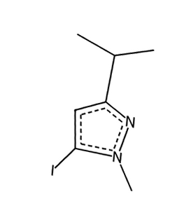 CC(C)c1cc(I)n(C)n1